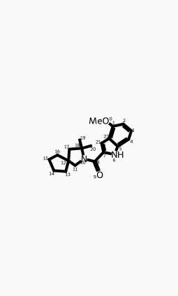 COc1cccc2[nH]c(C(=O)N3CC4(CCCC4)CC3(C)C)cc12